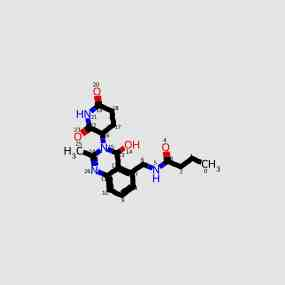 CCCC(=O)NCc1cccc2c1C(O)N(C1CCC(=O)NC1=O)C(C)=N2